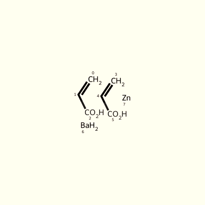 C=CC(=O)O.C=CC(=O)O.[BaH2].[Zn]